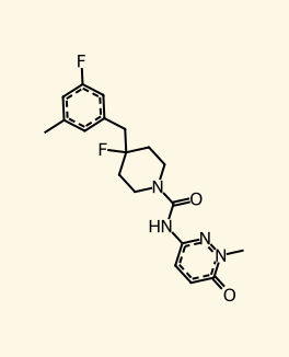 Cc1cc(F)cc(CC2(F)CCN(C(=O)Nc3ccc(=O)n(C)n3)CC2)c1